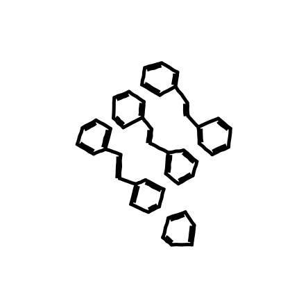 C(=Cc1ccccc1)c1ccccc1.C(=Cc1ccccc1)c1ccccc1.C(=Cc1ccccc1)c1ccccc1.c1ccccc1